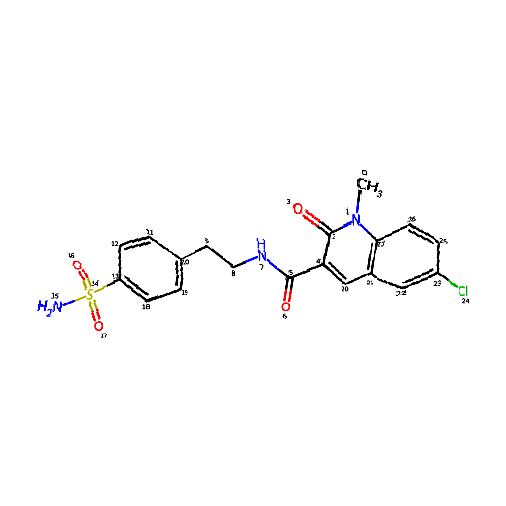 Cn1c(=O)c(C(=O)NCCc2ccc(S(N)(=O)=O)cc2)cc2cc(Cl)ccc21